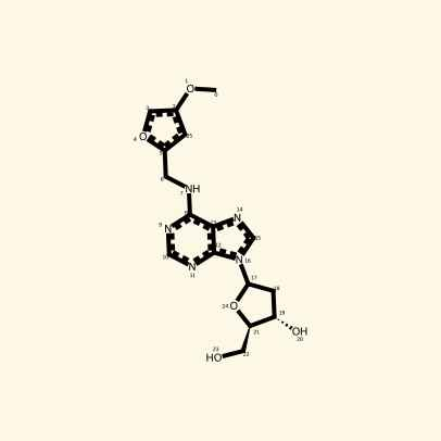 COc1coc(CNc2ncnc3c2ncn3C2C[C@H](O)[C@@H](CO)O2)c1